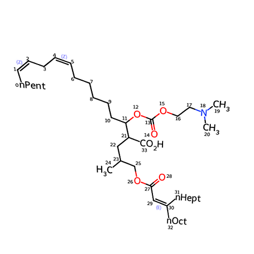 CCCCC/C=C\C/C=C\CCCCCC(OC(=O)OCCN(C)C)C(CC(C)COC(=O)/C=C(\CCCCCCC)CCCCCCCC)C(=O)O